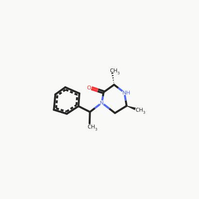 CC(c1ccccc1)N1C[C@H](C)N[C@@H](C)C1=O